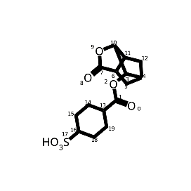 O=C(OC1C2CC3C(=O)OC1C3C2)C1CCC(S(=O)(=O)O)CC1